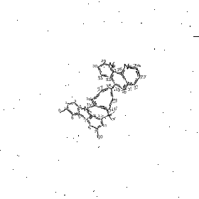 Cc1ccc2c(c1)c1cc(C)cc3c1n2-c1ccc(-c2cc4cccnc4c4ncccc24)cc1C3(C)C